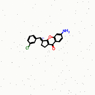 Nc1ccc2c(=O)c3c(oc2c1)/C(=C/c1cccc(Cl)c1)CC3